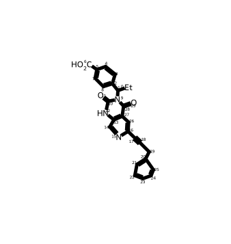 CCC(c1ccc(C(=O)O)cc1)n1c(=O)[nH]c2cnc(C#CCc3ccccc3)cc2c1=O